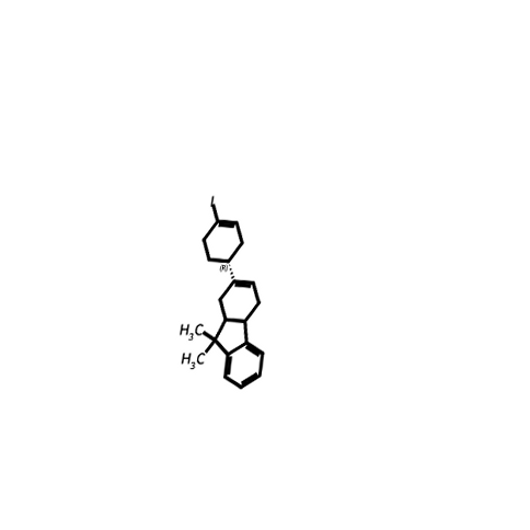 CC1(C)c2ccccc2C2CC=C([C@H]3CC=C(I)CC3)CC21